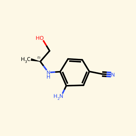 C[C@@H](CO)Nc1ccc(C#N)cc1N